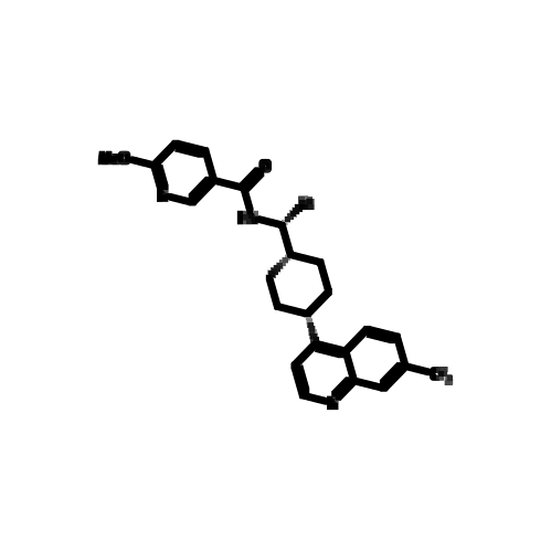 CC[C@@H](NC(=O)c1ccc(OC)nc1)[C@H]1CC[C@@H](c2ccnc3cc(C(F)(F)F)ccc32)CC1